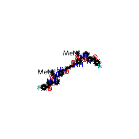 CN[C@@H](C)C(=O)NC(C(=O)N1CCC[C@H]1c1cncc(C(=O)c2ccc(F)cc2)c1)c1ccc(NC(=O)CCCCC(=O)Nc2ccc(C[C@H](NC(=O)[C@H](C)NC)C(=O)N3CCC[C@H]3c3cncc(C(=O)c4ccc(F)cc4)c3)cc2)cc1